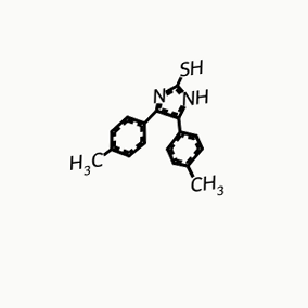 Cc1ccc(-c2nc(S)[nH]c2-c2ccc(C)cc2)cc1